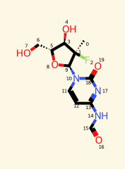 C[C@@]1(F)[C@H](O)[C@@H](CO)O[C@@H]1n1ccc(NC=O)nc1=O